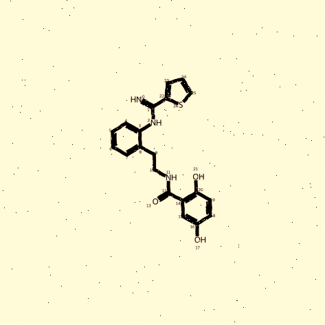 N=C(Nc1ccccc1CCNC(=O)c1cc(O)ccc1O)c1cccs1